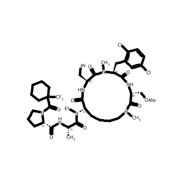 CCN(C(=O)[C@H](C)NC(=O)[C@@H]1CCCN1C(=O)C1(C(F)(F)F)CCCCC1)[C@H]1CCCCN(C)C(=O)[C@@H](COC)NC(=O)[C@H](Cc2cc(Cl)ccc2Cl)N(C)C(=O)[C@H](CC(C)C)NC1=O